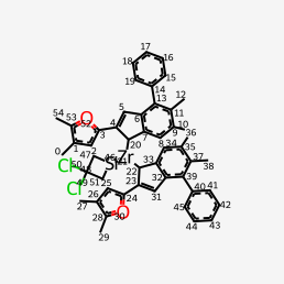 Cc1cc(C2=Cc3c(cc(C)c(C)c3-c3ccccc3)[CH]2[Zr]([CH]2C(c3cc(C)c(C)o3)=Cc3c2cc(C)c(C)c3-c2ccccc2)=[Si]2CC(Cl)(Cl)C2)oc1C